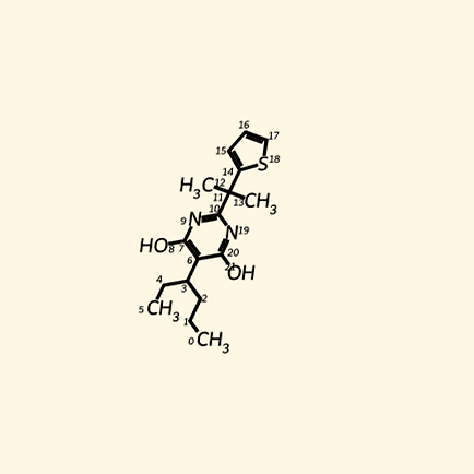 CCCC(CC)c1c(O)nc(C(C)(C)c2cccs2)nc1O